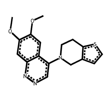 COc1cc2nncc(N3CCc4sccc4C3)c2cc1OC